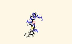 CC(NC(=O)c1cn2c(N)cnc2cn1)c1ncc(Nc2ccc(C(F)(F)F)cc2)s1